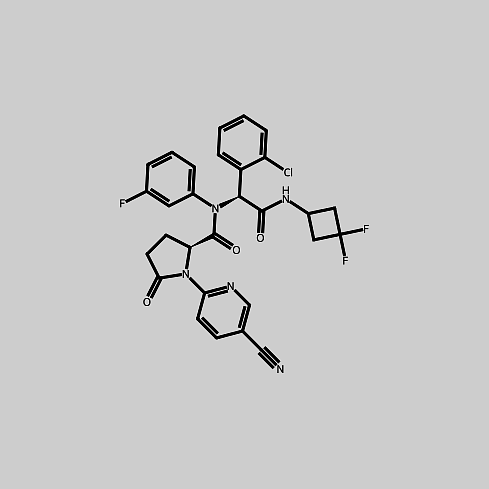 N#Cc1ccc(N2C(=O)CC[C@H]2C(=O)N(c2cccc(F)c2)[C@H](C(=O)NC2CC(F)(F)C2)c2ccccc2Cl)nc1